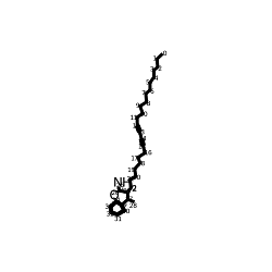 CCCCCCCCCCCCC#CC#CCCCCCCCC(C(N)=O)C(C)c1ccccc1